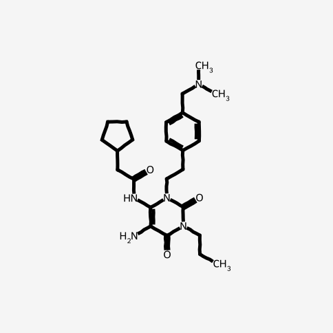 CCCn1c(=O)c(N)c(NC(=O)CC2CCCC2)n(CCc2ccc(CN(C)C)cc2)c1=O